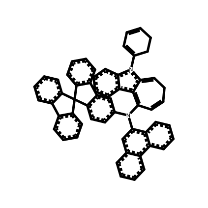 C1=CCCC(n2c3c(c4ccccc42)=C(N(c2ccc4c(c2)-c2ccccc2C42c4ccccc4-c4ccccc42)c2cc4ccccc4c4ccccc24)C=CCC=3)=C1